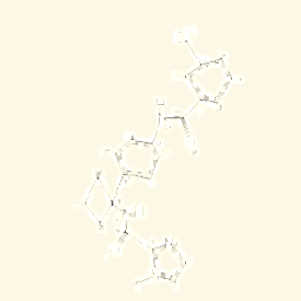 Cn1ccnc1C(=O)NC1(c2ccc(NC(=O)c3cccc(Cl)c3)cc2)CCC1